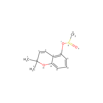 CC1(C)C=Cc2c(OS(=O)C(F)(F)F)cccc2O1